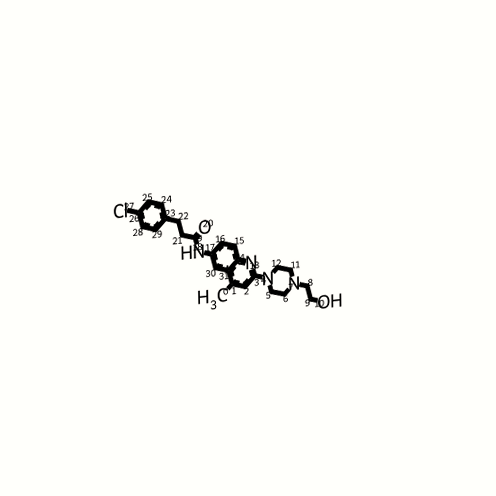 Cc1cc(N2CCN(CCO)CC2)nc2ccc(NC(=O)CCc3ccc(Cl)cc3)cc12